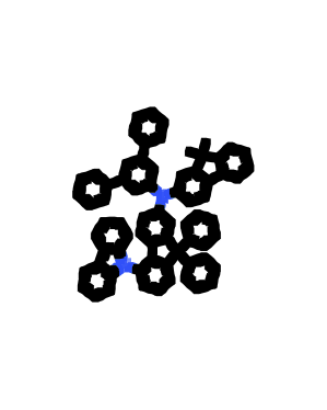 CC1(C)c2ccccc2-c2ccc(N(c3cc(-c4ccccc4)cc(-c4ccccc4)c3)c3ccc4c(c3)C(c3ccccc3)(c3ccccc3)c3cccc(-n5c6ccccc6c6ccccc65)c3-4)cc21